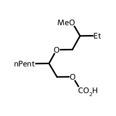 CCCCCC(COC(=O)O)OCC(CC)OC